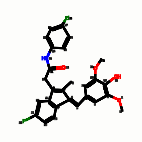 COc1cc(C=C2C(C)=C(CC(=O)Nc3ccc(Cl)cc3)c3cc(F)ccc32)cc(OC)c1O